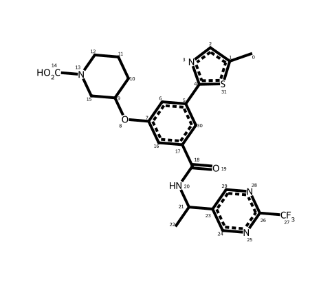 Cc1cnc(-c2cc(OC3CCCN(C(=O)O)C3)cc(C(=O)NC(C)c3cnc(C(F)(F)F)nc3)c2)s1